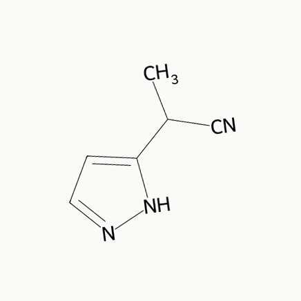 CC(C#N)c1ccn[nH]1